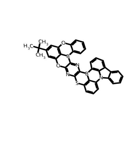 CC(C)(C)c1cc2c3c(c1)Oc1nc4c(nc1B3c1ccccc1O2)B1c2c(cccc2-n2c3ccccc3c3cccc1c32)S4